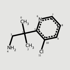 CC(C)(CN)c1ncccc1Cl